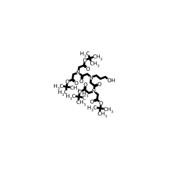 CC(C)(C)OC(=O)CN(CC(=O)OC(C)(C)C)C(=O)CN(CCCO)CC(=O)N(CC(=O)OC(C)(C)C)CC(=O)OC(C)(C)C